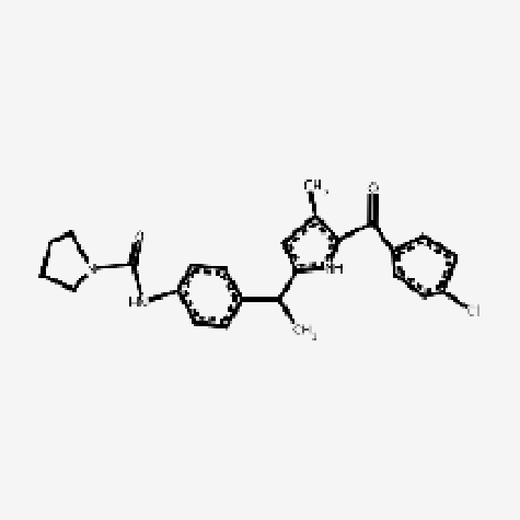 Cc1cc(C(C)c2ccc(NC(=O)N3CCCC3)cc2)[nH]c1C(=O)c1ccc(Cl)cc1